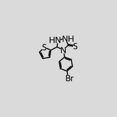 S=C1NNC(c2cccs2)N1c1ccc(Br)cc1